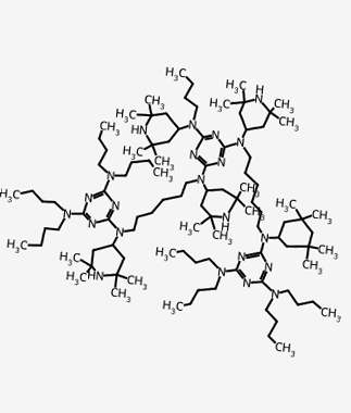 CCCCN(CCCC)c1nc(N(CCCC)CCCC)nc(N(CCCCCCN(c2nc(N(CCCC)C3CC(C)(C)NC(C)(C)C3)nc(N(CCCCCCN(c3nc(N(CCCC)CCCC)nc(N(CCCC)CCCC)n3)C3CC(C)(C)NC(C)(C)C3)C3CC(C)(C)NC(C)(C)C3)n2)C2CC(C)(C)NC(C)(C)C2)C2CC(C)(C)CC(C)(C)C2)n1